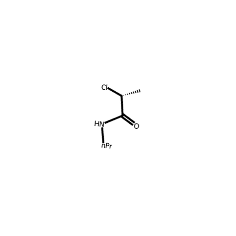 CCCNC(=O)[C@@H](C)Cl